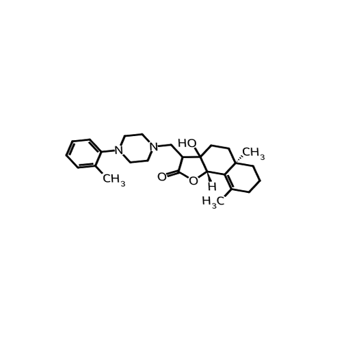 CC1=C2[C@@H]3OC(=O)C(CN4CCN(c5ccccc5C)CC4)C3(O)CC[C@@]2(C)CCC1